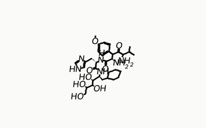 COc1ccc(C(C(=O)C(N)C(C)C)[C@H](N)C(=O)N[C@@H](Cc2c[nH]cn2)C(=O)N[C@@H](CC2CCCCC2)[C@@H](O)[C@@H](O)[C@H](O)CO)cc1